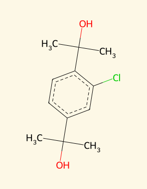 CC(C)(O)c1ccc(C(C)(C)O)c(Cl)c1